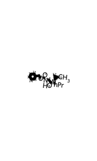 CCCN(C(=O)CNC(=O)OCc1ccccc1)[C@H]1C=C1C